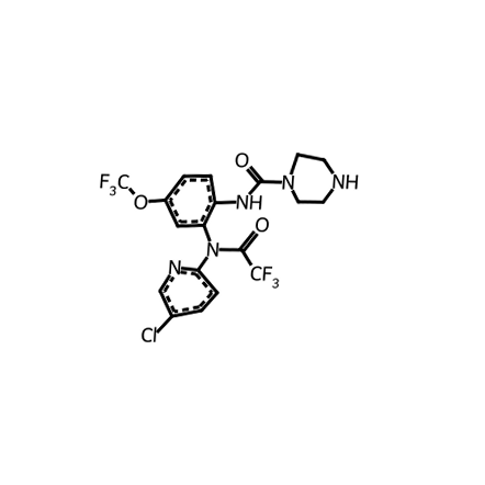 O=C(Nc1ccc(OC(F)(F)F)cc1N(C(=O)C(F)(F)F)c1ccc(Cl)cn1)N1CCNCC1